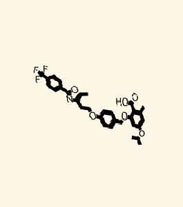 Cc1cc(OC(C)C)cc(OCc2ccc(OCCc3nc(-c4ccc(C(F)(F)F)cc4)oc3C)cc2)c1C(=O)O